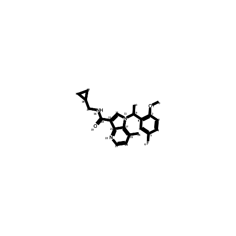 COc1ccc(F)cc1C(C)n1cc(C(=O)NCC2CC2)c2nccc(C)c21